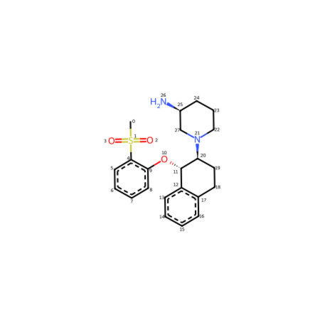 CS(=O)(=O)c1ccccc1O[C@H]1c2ccccc2CC[C@@H]1N1CCC[C@H](N)C1